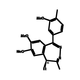 CC[C@@H]1C(C)=NN=C(c2ccc(C)c(OC)c2)c2cc(OC)c(OC)cc21